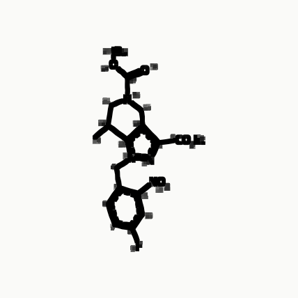 CCOC(=O)c1nn(Cc2ccc(F)cc2[N+](=O)[O-])c2c1CN(C(=O)OC(C)(C)C)CC2C